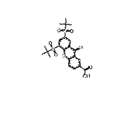 CC(C)(C)S(=O)(=O)c1cc(S(=O)(=O)C(C)(C)C)c2oc3ccc(C(=O)O)cc3c(=O)c2c1